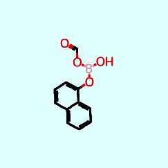 O=COB(O)Oc1cccc2ccccc12